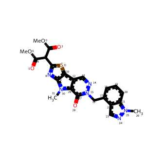 COC(=O)C(C(=O)OC)c1nc2c(s1)c1cnn(Cc3cccc4c3cnn4C)c(=O)c1n2C